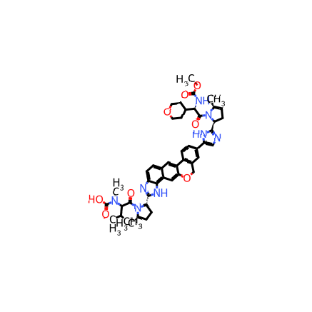 COC(=O)N[C@H](C(=O)N1[C@@H](C)CC[C@H]1c1ncc(-c2ccc3c(c2)COc2cc4c(ccc5nc([C@@H]6CC[C@H](C)N6C(=O)C(C(C)C)N(C)C(=O)O)[nH]c54)cc2-3)[nH]1)C1CCOCC1